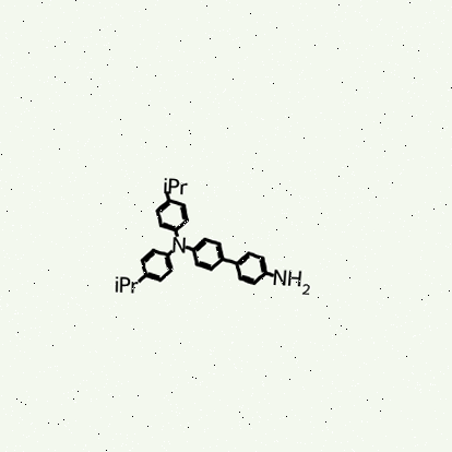 CC(C)c1ccc(N(c2ccc(-c3ccc(N)cc3)cc2)c2ccc(C(C)C)cc2)cc1